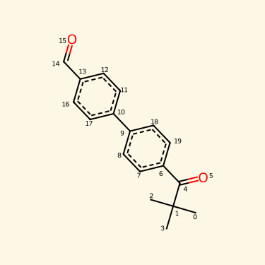 CC(C)(C)C(=O)c1ccc(-c2ccc(C=O)cc2)cc1